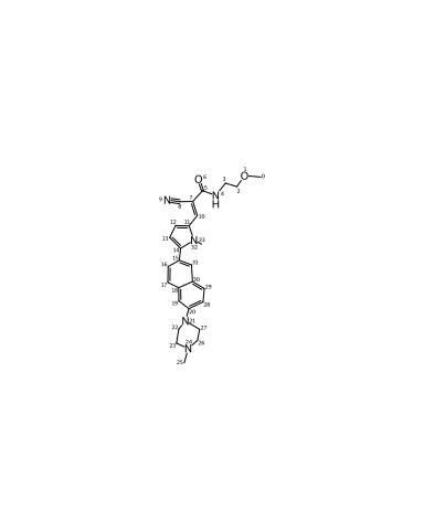 COCCNC(=O)/C(C#N)=C/c1ccc(-c2ccc3cc(N4CCN(C)CC4)ccc3c2)n1C